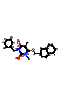 Cc1c(SCc2ccc3ccccc3c2)n(C)c(=O)n(Cc2ccccc2)c1=O